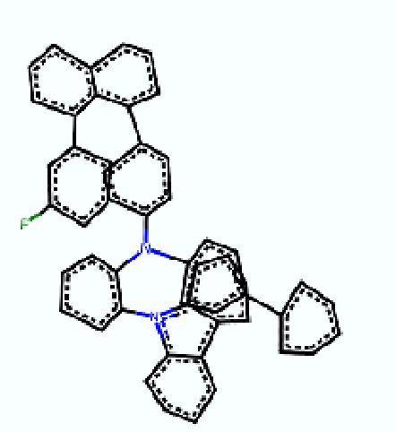 Fc1cccc(-c2cccc3cccc(-c4ccc(N(c5ccc(-c6ccccc6)cc5)c5ccccc5-n5c6ccccc6c6ccccc65)cc4)c23)c1